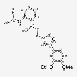 CCOc1cc(-c2nc(CCC(=O)c3ccccc3OC(F)F)co2)ccc1OC